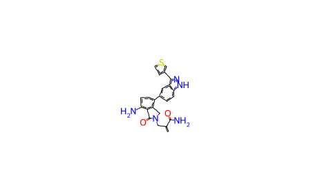 C=C(CN1Cc2c(-c3ccc4[nH]nc(-c5ccsc5)c4c3)ccc(N)c2C1=O)C(N)=O